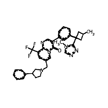 CC1CC(c2cccc(-c3cnc4c(C(F)(F)F)cc(CN5CCC(c6ccccc6)C5)cn4c3=O)c2)(c2nncn2C)C1